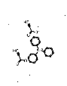 C#CC(=O)[O-].C#CC(=O)[O-].c1cc[c]([Sb+2]([c]2ccccc2)[c]2ccccc2)cc1